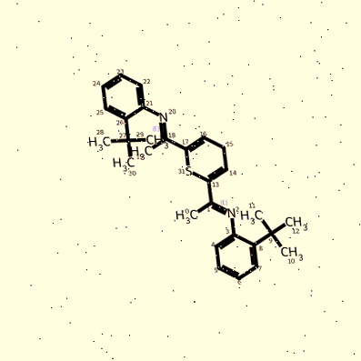 C/C(=N\c1ccccc1C(C)(C)C)C1=CCC=C(/C(C)=N/c2ccccc2C(C)(C)C)S1